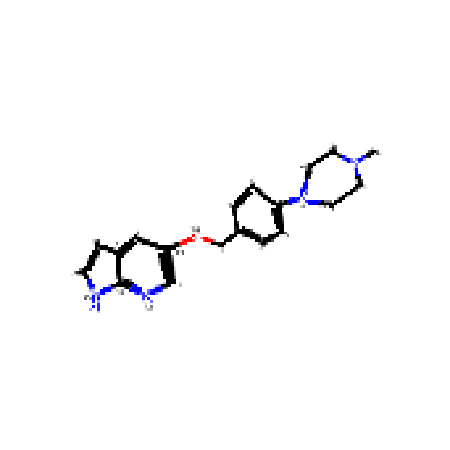 CN1CCN(c2ccc(COc3cnc4[nH]ccc4c3)cc2)CC1